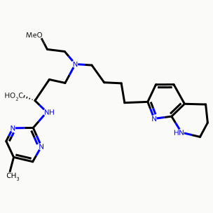 COCCN(CCCCc1ccc2c(n1)NCCC2)CC[C@H](Nc1ncc(C)cn1)C(=O)O